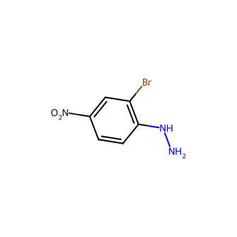 NNc1ccc([N+](=O)[O-])cc1Br